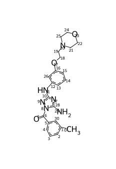 Cc1cccc(C(=O)n2nc(Nc3cccc(OCCN4CCOCC4)c3)nc2N)c1